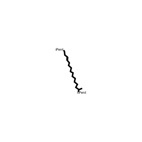 [CH2]CCCCC(C)CCCCCCCCCC/C=C/CCC(C)CC[CH2]